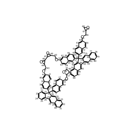 C1=CC2C=C(C3(c4ccc5cc(OC6CCO6)ccc5c4)c4ccccc4-c4cc5ccccc5cc43)C=CC2C=C1OCC1OC1C1OC1COc1ccc2cc(C3(c4ccc5cc(OCC6CO6)ccc5c4)c4cc5ccccc5cc4-c4cc5ccccc5cc43)ccc2c1